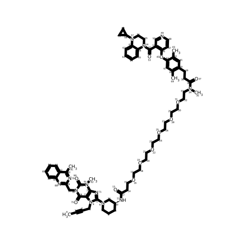 CC#CCn1c(N2CCC[C@@H](NC(=O)CCOCCOCCOCCOCCOCCOCCN(C)C(=O)CCc3cc(C)c(Oc4ccncc4C(=O)N4CCN(C5CC5)c5ccccc54)cc3C)C2)nc2c1c(=O)n(Cc1nc(C)c3ccccc3n1)c(=O)n2C